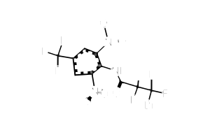 O=C(Nc1c([N+](=O)[O-])cc(C(F)(F)F)cc1[N+](=O)[O-])C(F)(F)C(F)(F)Br